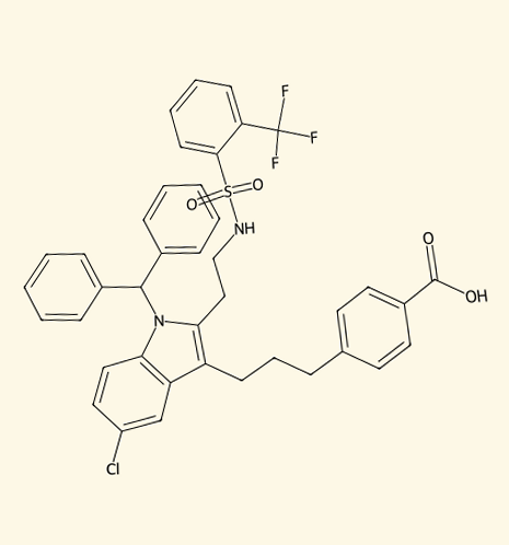 O=C(O)c1ccc(CCCc2c(CCNS(=O)(=O)c3ccccc3C(F)(F)F)n(C(c3ccccc3)c3ccccc3)c3ccc(Cl)cc23)cc1